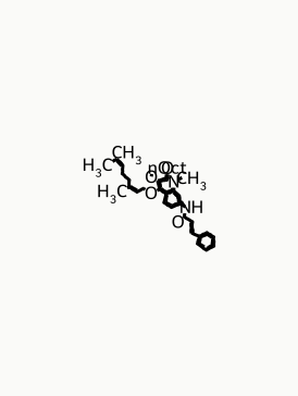 CCCCCCCCOc1c(OCC=C(C)CCC=C(C)C)c2ccc(NC(=O)C=Cc3ccccc3)cc2n(C)c1=O